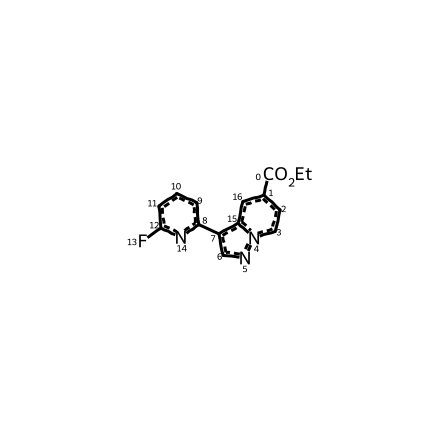 CCOC(=O)c1ccn2ncc(-c3cccc(F)n3)c2c1